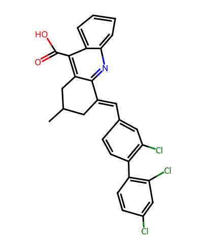 CC1C/C(=C\c2ccc(-c3ccc(Cl)cc3Cl)c(Cl)c2)c2nc3ccccc3c(C(=O)O)c2C1